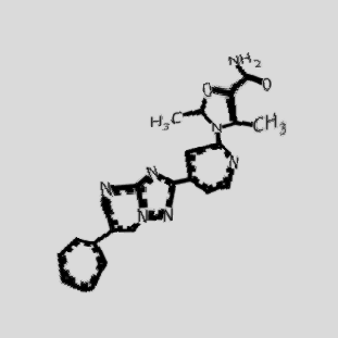 CC1=C(C(N)=O)OC(C)N1c1cc(-c2nc3ncc(-c4ccccc4)cn3n2)ccn1